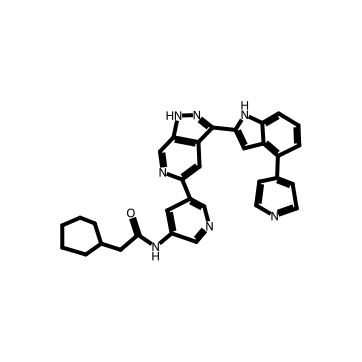 O=C(CC1CCCCC1)Nc1cncc(-c2cc3c(-c4cc5c(-c6ccncc6)cccc5[nH]4)n[nH]c3cn2)c1